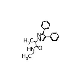 CCNC(=O)C(C)n1cc(-c2ccccc2)c(-c2ccccc2)n1